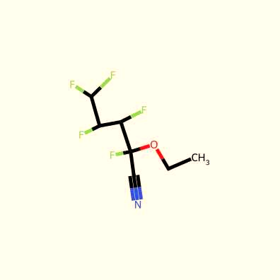 CCOC(F)(C#N)C(F)C(F)C(F)F